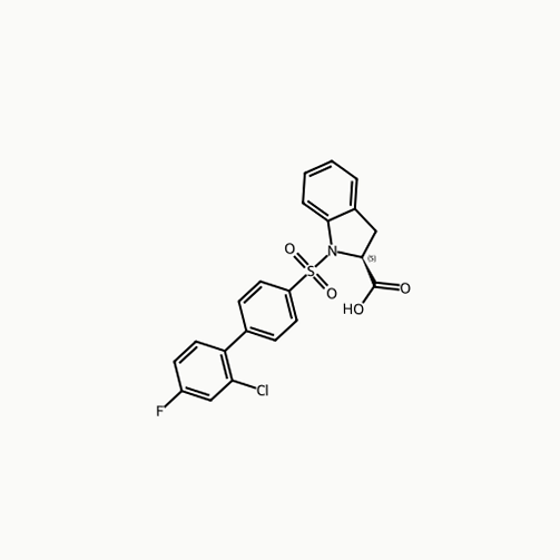 O=C(O)[C@@H]1Cc2ccccc2N1S(=O)(=O)c1ccc(-c2ccc(F)cc2Cl)cc1